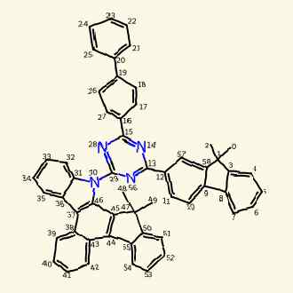 CC1(C)c2ccccc2-c2ccc(-c3nc(-c4ccc(-c5ccccc5)cc4)nc(-n4c5ccccc5c5c6ccccc6c6c(c54)C(C)(C)c4ccccc4-6)n3)cc21